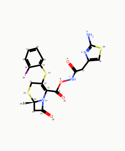 Nc1nc(CC(=O)NOC(=O)C2=C(Sc3ccccc3I)CS[C@H]3CC(=O)N23)cs1